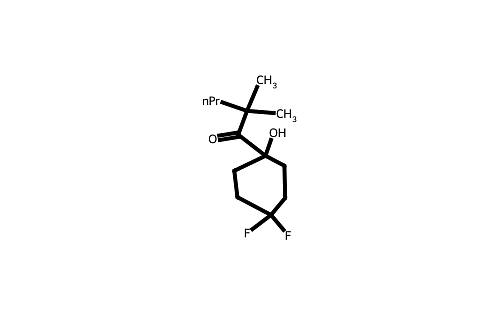 CCCC(C)(C)C(=O)C1(O)CCC(F)(F)CC1